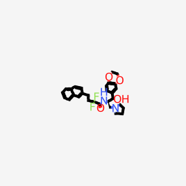 O=C(N[C@H](CN1CCCC1)[C@H](O)c1ccc2c(c1)OCCO2)C(F)(F)CCc1ccc2ccccc2c1